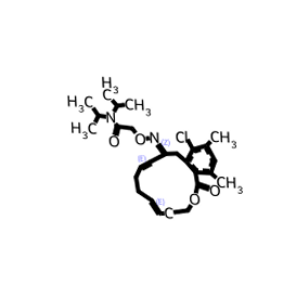 Cc1cc(C)c2c(c1Cl)CC(=N/OCC(=O)N(C(C)C)C(C)C)/C=C/CC/C=C/CCOC2=O